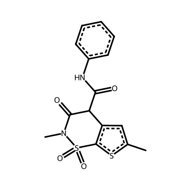 Cc1cc2c(s1)S(=O)(=O)N(C)C(=O)C2C(=O)Nc1ccccc1